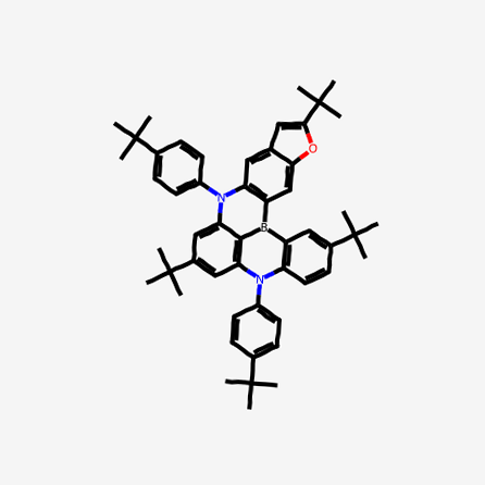 CC(C)(C)c1ccc(N2c3ccc(C(C)(C)C)cc3B3c4cc5oc(C(C)(C)C)cc5cc4N(c4ccc(C(C)(C)C)cc4)c4cc(C(C)(C)C)cc2c43)cc1